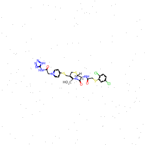 O=C(C[n+]1ccc(SCC2=C(C(=O)O)N3C(=O)[C@H](NC(=O)CSc4cc(Cl)ccc4Cl)[C@H]3SC2)cc1)Nc1nnn[nH]1